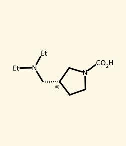 CCN(CC)C[C@H]1CCN(C(=O)O)C1